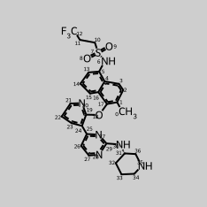 Cc1ccc2c(NS(=O)(=O)CCC(F)(F)F)cccc2c1Oc1ncccc1-c1ccnc(N[C@H]2CCCNC2)n1